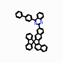 c1ccc(-c2ccc(-c3nc(-c4ccc5cc6c(cc5c4)C4(c5ccccc5-c5ccccc54)c4ccc5ccccc5c4-6)nc4ccccc34)cc2)cc1